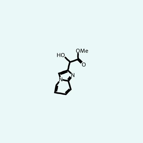 COC(=O)C(O)c1cn2ccccc2n1